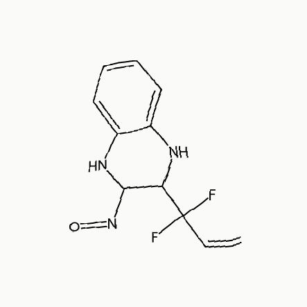 C=CC(F)(F)C1Nc2ccccc2NC1N=O